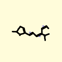 C\C=C/C(=C\C=C\C1=CCC(C)S1)N(C)C